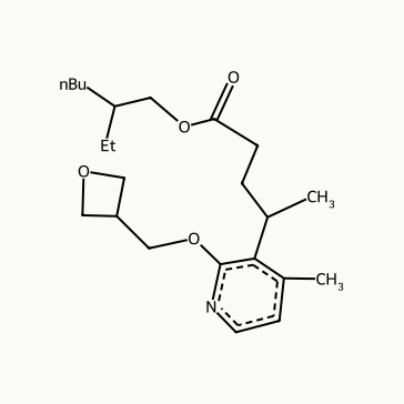 CCCCC(CC)COC(=O)CCC(C)c1c(C)ccnc1OCC1COC1